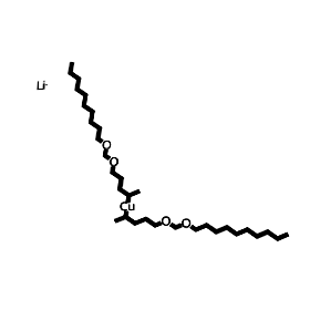 CCCCCCCCCCOCOCCC[CH](C)[Cu][CH](C)CCCOCOCCCCCCCCCC.[Li]